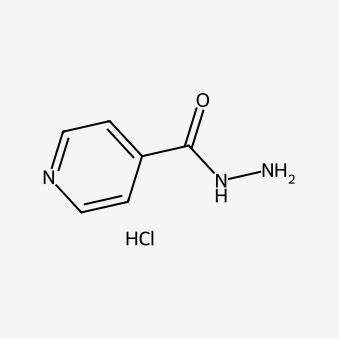 Cl.NNC(=O)c1ccncc1